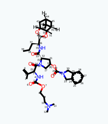 C=C(C)[C@H](NC(=O)OCCCN(C)C)C(=O)N1C[C@H](OC(=O)N2Cc3ccccc3C2)C[C@H]1C(=O)N[C@@H](CCC)B1O[C@@H]2C[C@@H]3C[C@@H](C3(C)C)[C@]2(C)O1